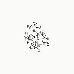 CC(C)(C)[C@H](NC(=O)C1(C(F)(F)F)CC1)C(=O)N1C[C@H]2[C@@H]([C@H]1C(=O)N[C@@H](C[C@@H]1CC3(CC3)NC1=O)C(N)=O)C2(C)C